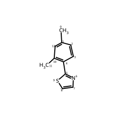 Cc1ccc(-c2nc[c]s2)c(C)c1